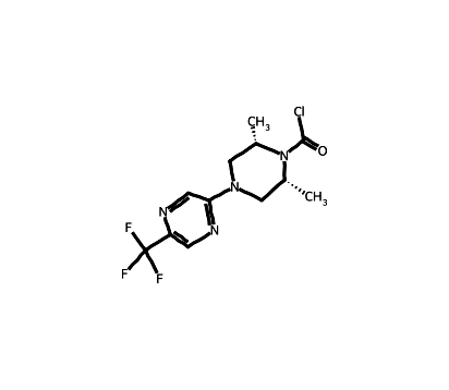 C[C@@H]1CN(c2cnc(C(F)(F)F)cn2)C[C@H](C)N1C(=O)Cl